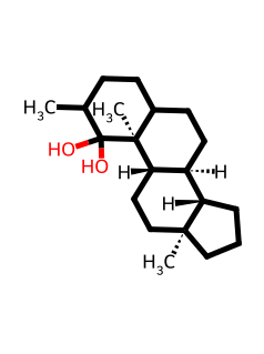 CC1CCC2CC[C@H]3[C@@H]4CCC[C@@]4(C)CC[C@@H]3[C@@]2(C)C1(O)O